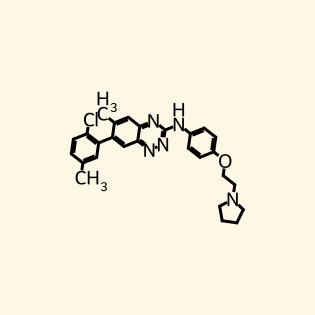 Cc1ccc(Cl)c(-c2cc3nnc(Nc4ccc(OCCN5CCCC5)cc4)nc3cc2C)c1